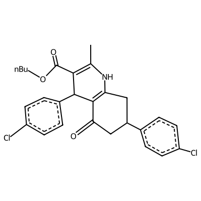 CCCCOC(=O)C1=C(C)NC2=C(C(=O)CC(c3ccc(Cl)cc3)C2)C1c1ccc(Cl)cc1